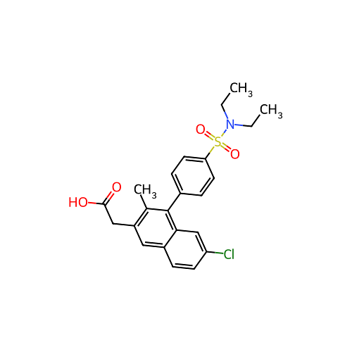 CCN(CC)S(=O)(=O)c1ccc(-c2c(C)c(CC(=O)O)cc3ccc(Cl)cc23)cc1